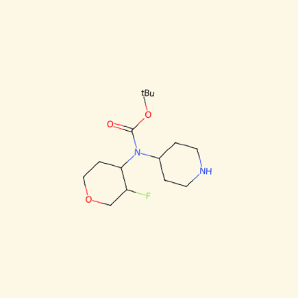 CC(C)(C)OC(=O)N(C1CCNCC1)C1CCOCC1F